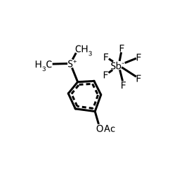 CC(=O)Oc1ccc([S+](C)C)cc1.[F][Sb-]([F])([F])([F])([F])[F]